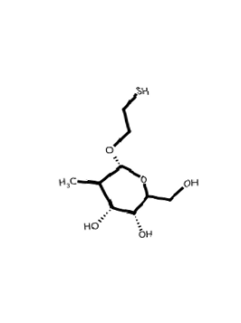 CC1[C@H](OCCS)OC(CO)[C@H](O)[C@@H]1O